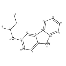 CCC(C)Oc1cc2c(cn1)[nH]c1ccccc12